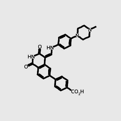 CN1CCN(c2ccc(N/C=C3\C(=O)NC(=O)c4ccc(-c5ccc(C(=O)O)cc5)cc43)cc2)CC1